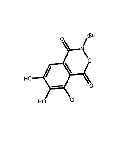 CC(C)(C)n1oc(=O)c2c(Cl)c(O)c(O)cc2c1=O